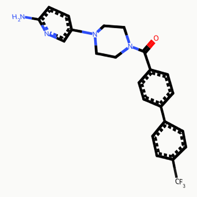 Nc1ccc(N2CCN(C(=O)c3ccc(-c4ccc(C(F)(F)F)cc4)cc3)CC2)cn1